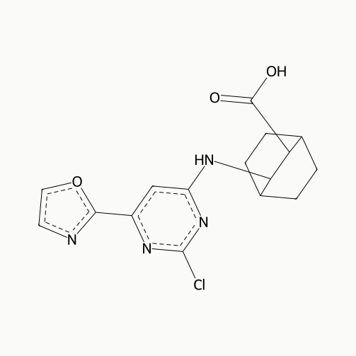 O=C(O)C1C2CCC(CC2)C1Nc1cc(-c2ncco2)nc(Cl)n1